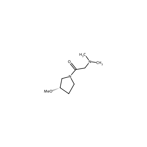 CO[C@H]1CCN(C(=O)CN(C)C)C1